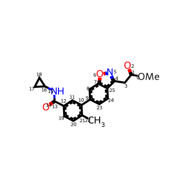 COC(=O)Cc1noc2cc(-c3cc(C(=O)NC4CC4)ccc3C)ccc12